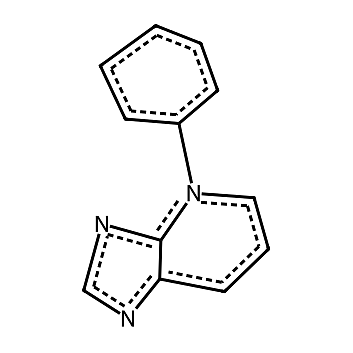 c1ccc(-n2cccc3ncnc2-3)cc1